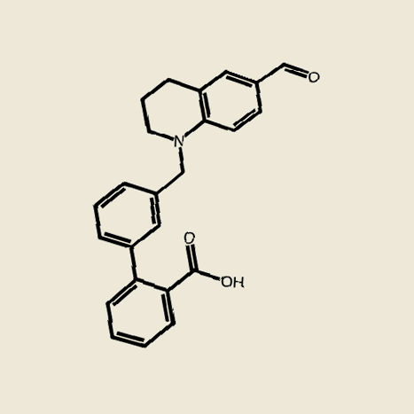 O=Cc1ccc2c(c1)CCCN2Cc1cccc(-c2ccccc2C(=O)O)c1